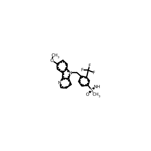 COc1ccc2c(c1)c1ncccc1n2Cc1ccc(S(C)(=N)=O)cc1C(F)(F)F